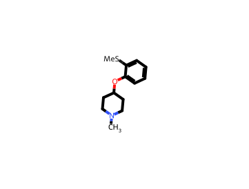 CSc1ccccc1OC1CCN(C)CC1